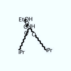 CCC(O)COC(=O)NC(CCCOCCCCCCCCCCC(C)C)CCOCCCCCCCCCCC(C)C